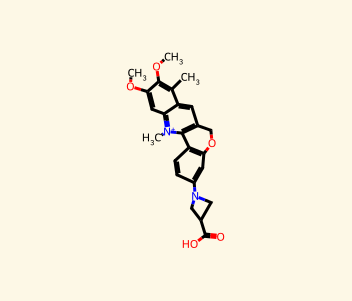 COc1cc2c(cc3c([n+]2C)-c2ccc(N4CC(C(=O)O)C4)cc2OC3)c(C)c1OC